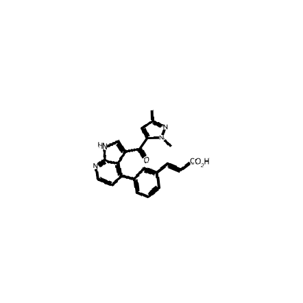 Cc1cc(C(=O)c2c[nH]c3nccc(-c4cccc(C=CC(=O)O)c4)c23)n(C)n1